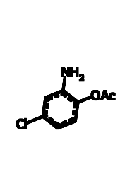 CC(=O)Oc1ccc(Cl)cc1N